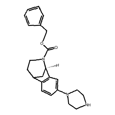 O=C(OCc1ccccc1)N1CCC2C[C@@H]1c1cc(N3CCNCC3)ccc12